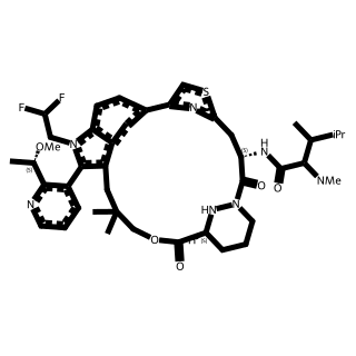 CNC(C(=O)N[C@H]1Cc2nc(cs2)-c2ccc3c(c2)c(c(-c2cccnc2[C@H](C)OC)n3CC(F)F)CC(C)(C)COC(=O)[C@@H]2CCCN(N2)C1=O)C(C)C(C)C